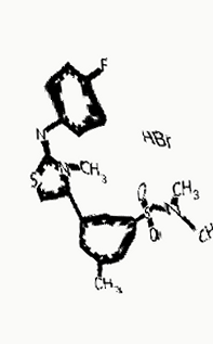 Br.Cc1cc(-c2cs/c(=N/c3ccc(F)cc3)n2C)cc(S(=O)(=O)N(C)C)c1